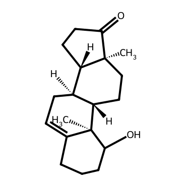 C[C@]12CC[C@H]3[C@@H](CC=C4CCCC(O)[C@@]43C)[C@@H]1CCC2=O